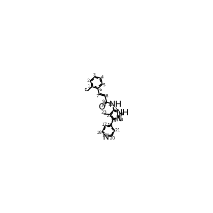 Cc1ccccc1C=CC(=O)Nc1[nH]nc(-c2ccncc2)c1C